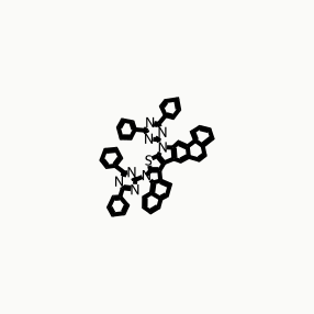 c1ccc(-c2nc(-c3ccccc3)nc(-n3c4cc5c(ccc6ccccc65)cc4c4c5c6ccc7ccccc7c6n(-c6nc(-c7ccccc7)nc(-c7ccccc7)n6)c5sc43)n2)cc1